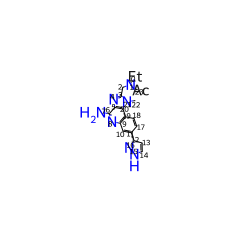 CCN(Cc1nc2c(N)nc3cc(-c4cc[nH]n4)ccc3c2n1C)C(C)=O